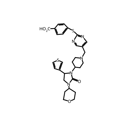 O=C(O)c1ccc(Sc2ncc(CN3CCC(N4C(=O)N(C5CCOCC5)CC4c4ccsc4)CC3)cn2)cc1